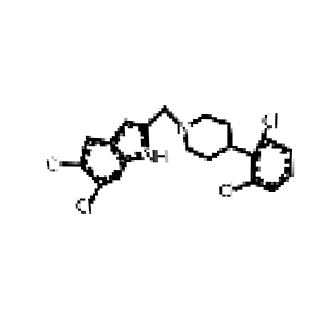 Clc1cc2cc(CN3CCC(c4c(Cl)cccc4Cl)CC3)[nH]c2cc1Cl